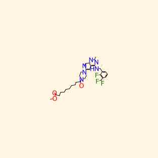 COC(=O)CCCCCCCCC(=O)N1CCN(c2cc3c(N[C@H](C)c4cccc(C(F)F)c4F)nc(C)nc3cn2)CC1